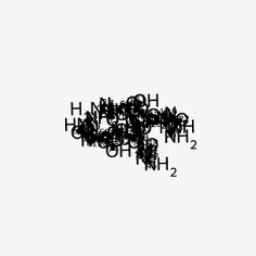 Nc1ncn([C@H]2CC(OP(=O)(O)OC[C@H]3O[C@@H](n4cnc5c(=O)[nH]c(N)nc54)CC3O)[C@@H](COP(=O)(O)OC3C[C@H](n4cnc(N)nc4=O)O[C@@H]3COP(=O)(O)OC3C[C@H](n4cnc5c(=O)[nH]c(N)nc54)O[C@@H]3CO)O2)c(=O)n1